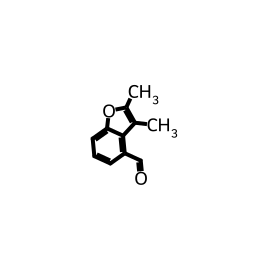 Cc1oc2cccc(C=O)c2c1C